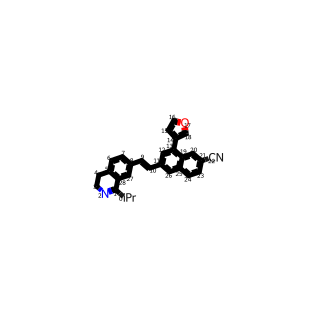 CC(C)C1=NCCc2ccc(C=Cc3cc(-c4ccoc4)c4cc(C#N)ccc4c3)cc21